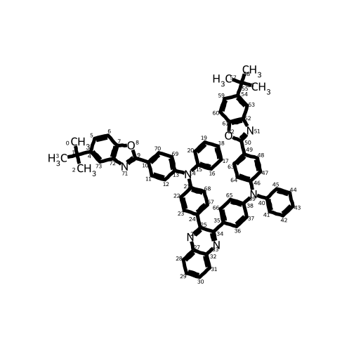 CC(C)(C)c1ccc2oc(-c3ccc(N(c4ccccc4)c4ccc(-c5nc6ccccc6nc5-c5ccc(N(c6ccccc6)c6ccc(-c7nc8cc(C(C)(C)C)ccc8o7)cc6)cc5)cc4)cc3)nc2c1